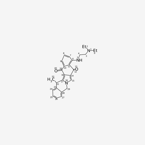 CCN(CC)CCNc1cccc2c1C(=O)c1cn3c(c1C2=O)C(C)c1ccccc1C3